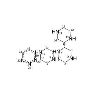 C1CNCCN1.C1CNCCN1.C1CNCCN1.c1cnnnc1